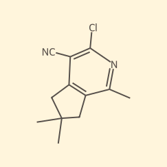 Cc1nc(Cl)c(C#N)c2c1CC(C)(C)C2